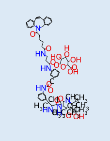 CN[C@H](C(=O)N[C@H](C(=O)N(C)[C@H](/C=C(\C)C(=O)O)C(C)C)C(C)(C)C)C(C)(C)c1cccc(NC(=O)OCc2ccc(OC3OC(C(=O)O)C(O)C(O)C3O)c(NC(=O)CCNC(=O)CCCCC(=O)N3Cc4ccccc4C#Cc4ccccc43)c2)c1